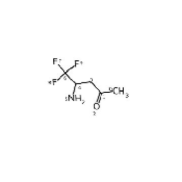 CC(=O)CC(N)C(F)(F)F